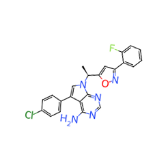 C[C@@H](c1cc(-c2ccccc2F)no1)n1cc(-c2ccc(Cl)cc2)c2c(N)ncnc21